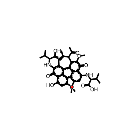 COc1c2c3c4c(c(NC(C(=O)O)C(C)C)c(=O)c5c(O)cc(OC)c(c6c(OC)cc(NC(C(=O)O)C(C)C)c(c1=O)c63)c54)C=C(C)C2C(C)=O